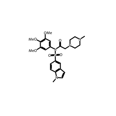 COc1cc(N(C(=O)CN2CCN(C)CC2)S(=O)(=O)c2ccc3c(ccn3C)c2)cc(OC)c1OC